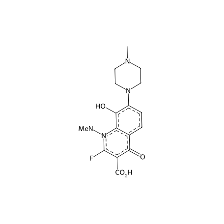 CNn1c(F)c(C(=O)O)c(=O)c2ccc(N3CCN(C)CC3)c(O)c21